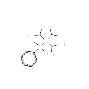 CC(C)[PH](C(C)C)(C(C)C)[Ru]([Cl])([Cl])[c]1ccccc1